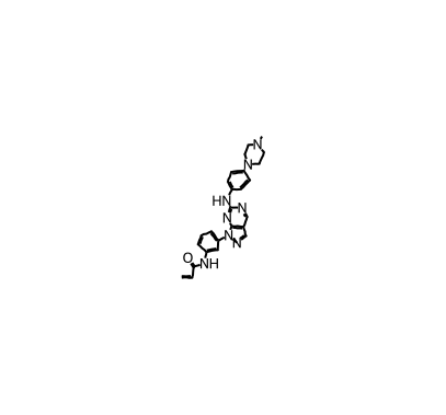 C=CC(=O)Nc1cccc(-n2ncc3cnc(Nc4ccc(N5CCN(C)CC5)cc4)nc32)c1